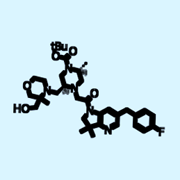 C[C@@H]1CN(CC(=O)N2CC(C)(C)c3ncc(Cc4ccc(F)cc4)cc32)[C@@H](CN2CCOCC2(C)CO)CN1C(=O)OC(C)(C)C